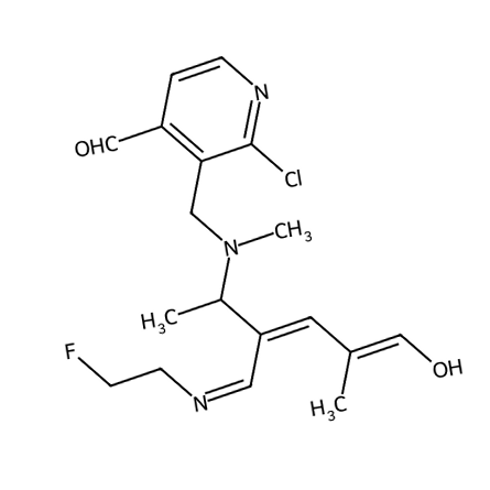 CC(/C=C(\C=N/CCF)C(C)N(C)Cc1c(C=O)ccnc1Cl)=C\O